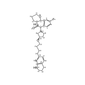 O=C(O)C(c1ccc(F)cc1C1CCCCO1)N1CC[C@@H](OCCCCc2ccc3c(n2)NCCC3)C1